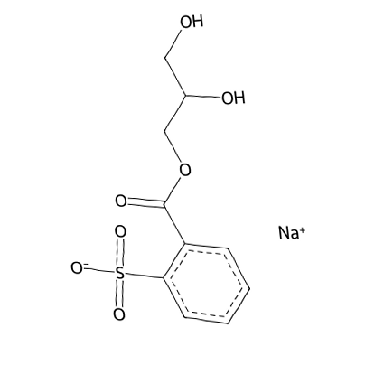 O=C(OCC(O)CO)c1ccccc1S(=O)(=O)[O-].[Na+]